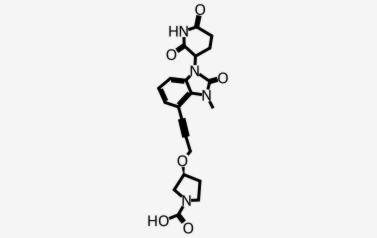 Cn1c(=O)n(C2CCC(=O)NC2=O)c2cccc(C#CCO[C@H]3CCN(C(=O)O)C3)c21